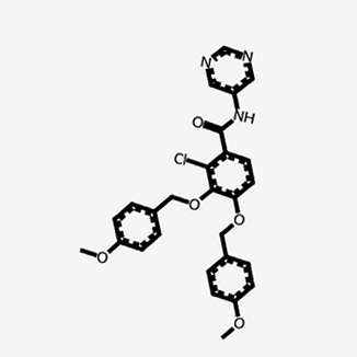 COc1ccc(COc2ccc(C(=O)Nc3cncnc3)c(Cl)c2OCc2ccc(OC)cc2)cc1